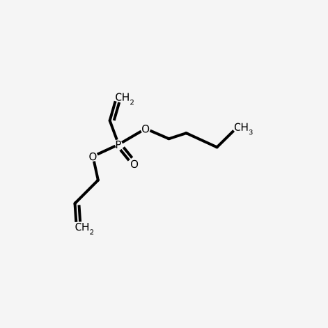 C=CCOP(=O)(C=C)OCCCC